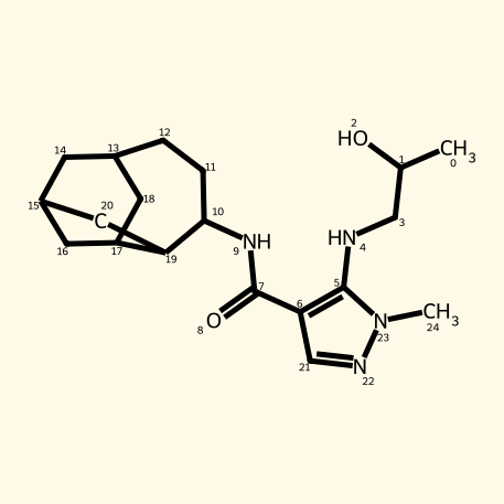 CC(O)CNc1c(C(=O)NC2CCC3CC4CC(C3)C2C4)cnn1C